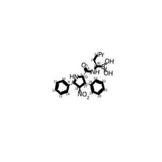 CC(C)C[C@H](NC(=O)[C@H]1N[C@@H](c2ccccc2)[C@H]([N+](=O)[O-])[C@H]1c1ccccc1)B(O)O